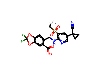 CCS(=O)(=O)c1cc(C2(C#N)CC2)cnc1NCc1cc2c(cc1C(=O)O)OC(F)(F)O2